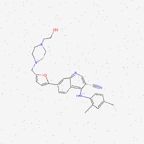 Cc1ccc(Nc2c(C#N)cnc3cc(-c4ccc(CN5CCN(CCO)CC5)o4)ccc23)c(C)c1